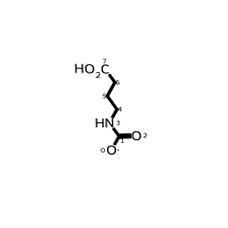 [O]C(=O)NCCCC(=O)O